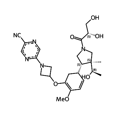 COC1=C(OC2CN(c3cnc(C#N)cn3)C2)CC([C@@H]2CN(C(=O)[C@@H](O)CO)C[C@@]2(C)[C@@H](C)O)C=C1